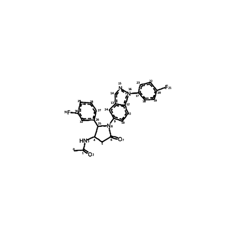 CC(=O)NC1CC(=O)N(c2ccc3c(cnn3-c3ccc(F)cc3)c2)C1c1cccc(F)c1